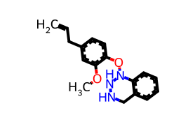 C=CCc1ccc(ON2NNCc3ccccc32)c(OC)c1